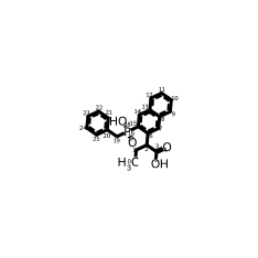 CCC(C(=O)O)c1cc2ccccc2cc1P(=O)(O)Cc1ccccc1